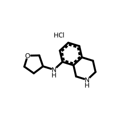 Cl.c1cc2c(c(NC3CCOC3)c1)CNCC2